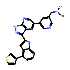 CN(C)Cc1cncc(-c2cnc3[nH]nc(-c4cc5c(-c6ccsc6)cccc5[nH]4)c3c2)c1